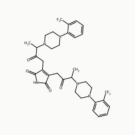 CC(C(=O)CC1=C(CC(=O)C(C)N2CCN(c3ccccc3C(F)(F)F)CC2)C(=O)NC1=O)N1CCN(c2ccccc2C(F)(F)F)CC1